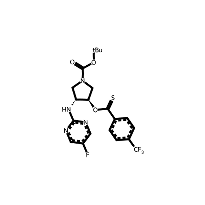 CC(C)(C)OC(=O)N1C[C@@H](Nc2ncc(F)cn2)[C@H](OC(=S)c2ccc(C(F)(F)F)cc2)C1